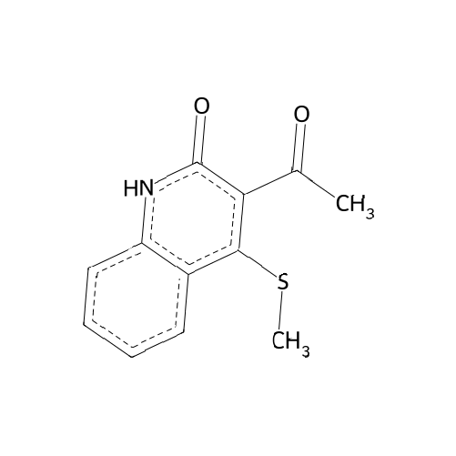 CSc1c(C(C)=O)c(=O)[nH]c2ccccc12